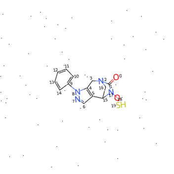 O=C1N2Cc3c(cnn3-c3ccccc3)C(C2)N1OS